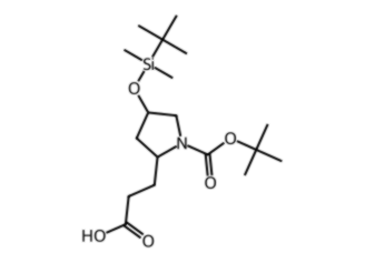 CC(C)(C)OC(=O)N1CC(O[Si](C)(C)C(C)(C)C)CC1CCC(=O)O